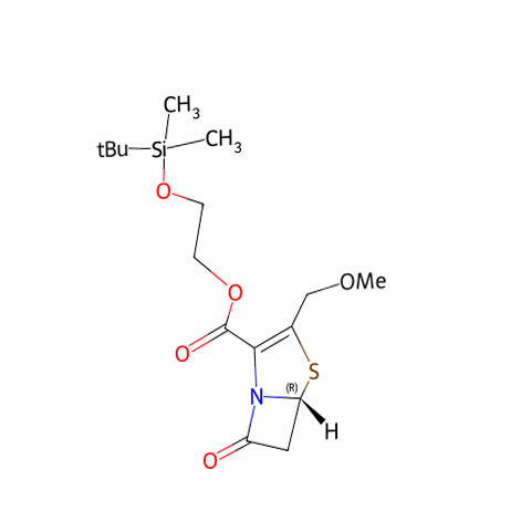 COCC1=C(C(=O)OCCO[Si](C)(C)C(C)(C)C)N2C(=O)C[C@H]2S1